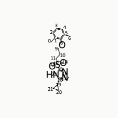 Cc1c[c]cc(C)c1OCCCS(=O)(=O)c1nnc(C2CC2)[nH]1